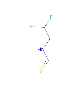 FC(F)CNC=S